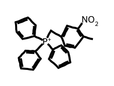 Cc1ccc(C[P+](c2ccccc2)(c2ccccc2)c2ccccc2)cc1[N+](=O)[O-]